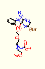 Nc1ncc(Br)nc1C(=O)Nc1ccccc1OCCOCCN(CCO)C(=O)O